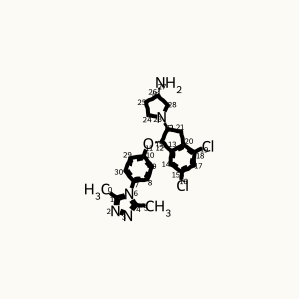 Cc1nnc(C)n1-c1ccc(O[C@H]2c3cc(Cl)cc(Cl)c3C[C@@H]2N2CC[C@H](N)C2)cc1